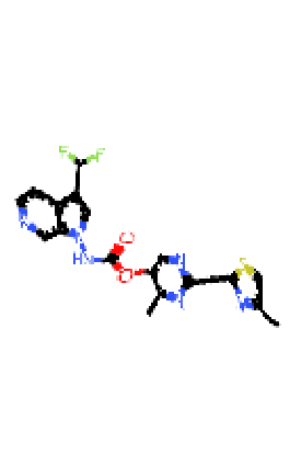 Cc1csc(-c2ncc(OC(=O)Nn3cc(C(F)F)c4ccncc43)c(C)n2)n1